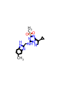 Cc1ccc2[nH]c(CNc3nc(S(C)(=O)=O)nc4c(C5CC5)cnn34)nc2c1